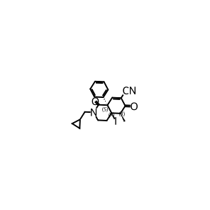 C[C@@H]1C(=O)C(C#N)=C[C@]2(c3ccccc3)C(=O)N(CC3CC3)CC[C@@]12I